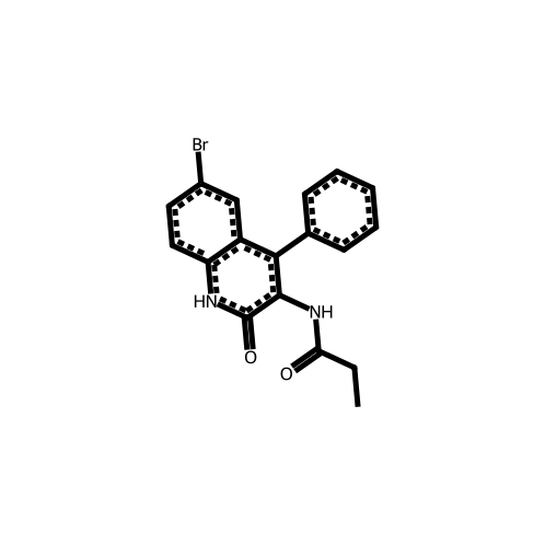 CCC(=O)Nc1c(-c2ccccc2)c2cc(Br)ccc2[nH]c1=O